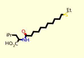 CCSCCCCCCCCCCC(=O)NC(CC(C)C)C(=O)O